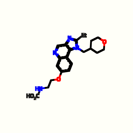 CCc1nc2cnc3cc(OCCNC(=O)O)ccc3c2n1CC1CCOCC1